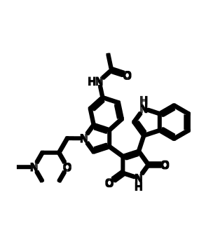 COC(CN(C)C)Cn1cc(C2=C(c3c[nH]c4ccccc34)C(=O)NC2=O)c2ccc(NC(C)=O)cc21